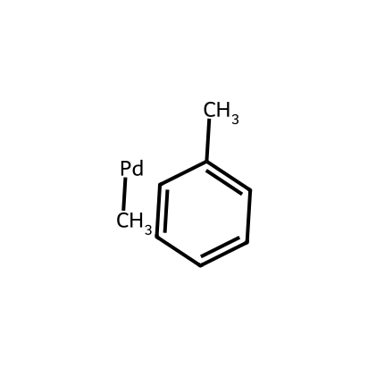 Cc1ccccc1.[CH3][Pd]